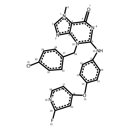 Cn1cnc2c1c(=O)nc(Nc1ccc(Oc3ccnc(F)c3)cc1)n2Cc1ccc(Cl)cc1